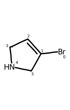 BrC1=C[CH]NC1